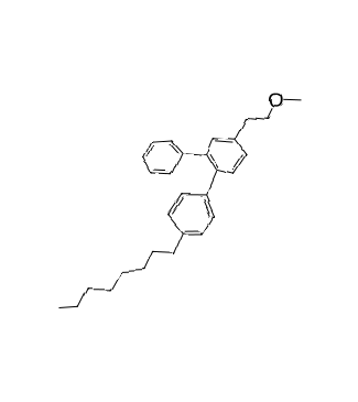 CCCCCCCCc1ccc(-c2ccc(CCOC)cc2-c2ccccc2)cc1